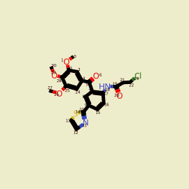 COc1cc(C(=O)c2cc(-c3nccs3)ccc2NC(=O)CCCl)cc(OC)c1OC